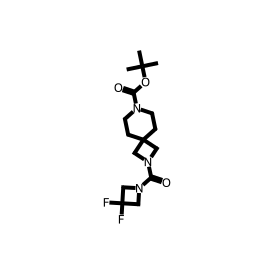 CC(C)(C)OC(=O)N1CCC2(CC1)CN(C(=O)N1CC(F)(F)C1)C2